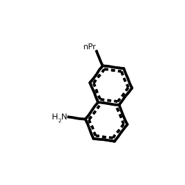 CCCc1ccc2cccc(N)c2c1